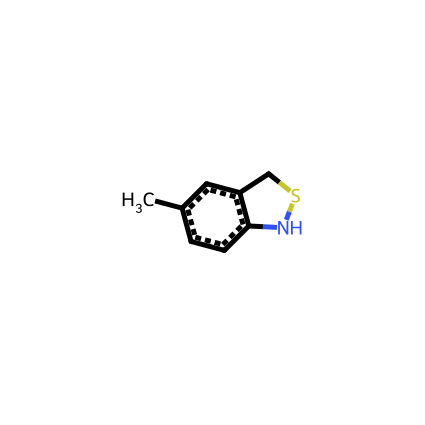 Cc1ccc2c(c1)CSN2